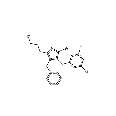 CC(C)c1nc(CCCO)n(Cc2cccnc2)c1Sc1cc(Cl)cc(Cl)c1